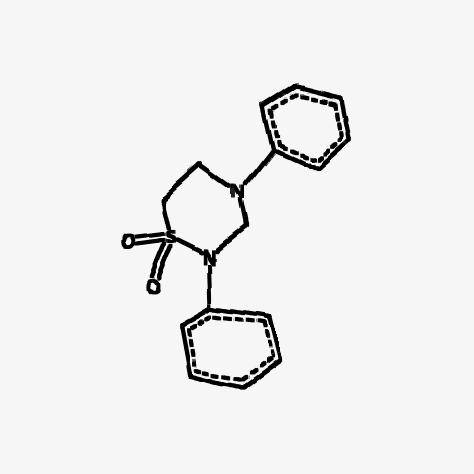 O=S1(=O)CCN(c2ccccc2)CN1c1ccccc1